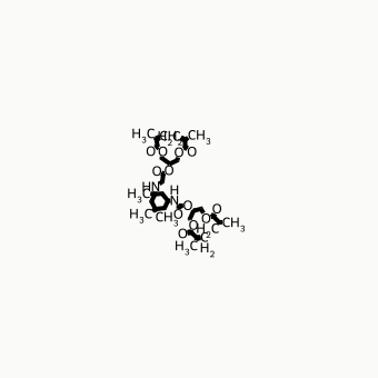 C=C(C)C(=O)OCC(COC(=O)C(=C)C)OC(=O)CNC1(C)CC(NC(=O)OC(COC(=O)C(=C)C)COC(=O)C(=C)C)CC(C)(C)C1